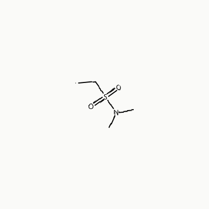 [CH2]CS(=O)(=O)N(C)C